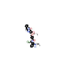 CNc1cc2c(c3ccccc13)[C@H](CCl)CN2C(=O)c1ccc(COc2cc3c(cc2OC)C(=O)N2Cc4ccccc4C[C@H]2C=N3)cc1